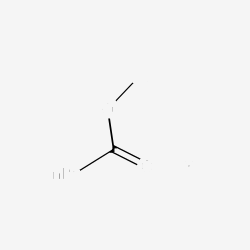 CCCC(=O)OCC.[Y]